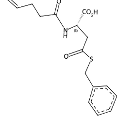 C=CCCC(=O)N[C@@H](CC(=O)SCc1ccccc1)C(=O)O